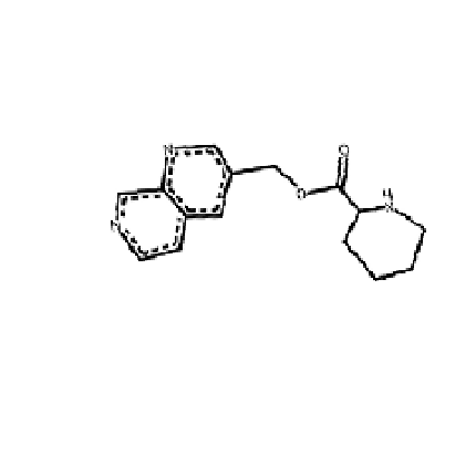 O=C(OCc1cnc2cnccc2c1)C1CCCCN1